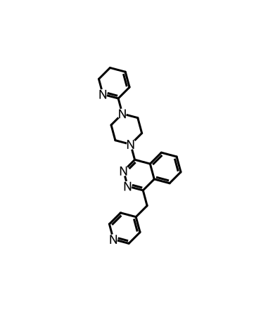 C1=CC(N2CCN(c3nnc(Cc4ccncc4)c4ccccc34)CC2)=NCC1